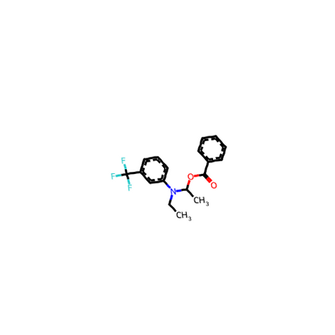 CCN(c1cccc(C(F)(F)F)c1)C(C)OC(=O)c1ccccc1